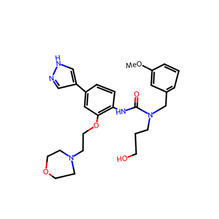 COc1cccc(CN(CCCO)C(=O)Nc2ccc(-c3cn[nH]c3)cc2OCCN2CCOCC2)c1